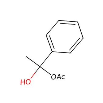 CC(=O)OC(C)(O)c1ccccc1